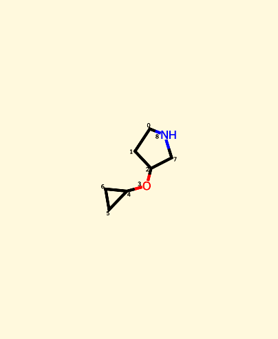 C1CC(OC2CC2)CN1